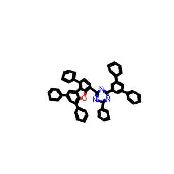 c1ccc(-c2cc(-c3ccccc3)cc(-c3nc(-c4ccccc4)nc(-c4ccc(-c5ccccc5)c5c4oc4c(-c6ccccc6)cc(-c6ccccc6)cc45)n3)c2)cc1